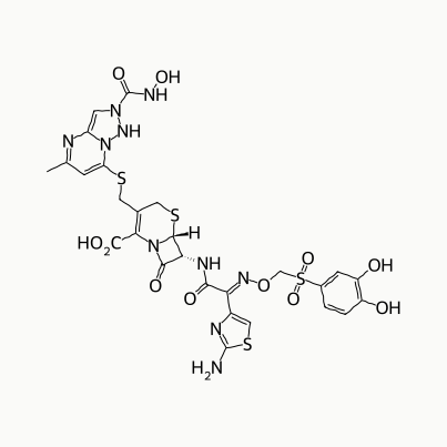 CC1=NC2=CN(C(=O)NO)NN2C(SCC2=C(C(=O)O)N3C(=O)[C@@H](NC(=O)C(=NOCS(=O)(=O)c4ccc(O)c(O)c4)c4csc(N)n4)[C@H]3SC2)=C1